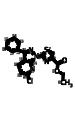 CCOC(=O)c1csc(-n2nc(-c3ccccc3)c3ccc(Cl)nc32)n1